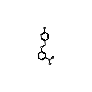 O=[N+]([O-])c1cccc(OCc2ccc(Br)cc2)c1